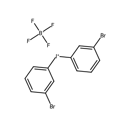 Brc1cccc([I+]c2cccc(Br)c2)c1.F[B-](F)(F)F